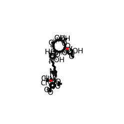 CC[C@H]1OC(=O)[C@H](C)[C@@H](O[C@H]2C[C@@](C)(OC)[C@@H](O)[C@H](C)O2)[C@H](C)[C@@H](O[C@@H]2O[C@H](C)C[C@H](N(C)CCCc3cn(C[C@H](NC(=O)C(Cl)Cl)[C@@H](OC(C)=O)c4ccc([N+](=O)[O-])cc4)nn3)[C@H]2O)[C@](C)(O)C[C@@H](C)C(=O)[C@H](C)[C@@H](O)[C@]1(C)O